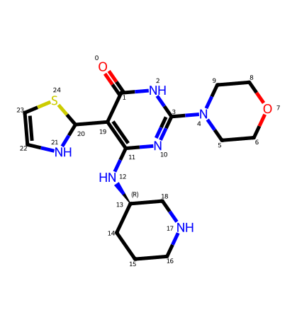 O=c1[nH]c(N2CCOCC2)nc(N[C@@H]2CCCNC2)c1C1NC=CS1